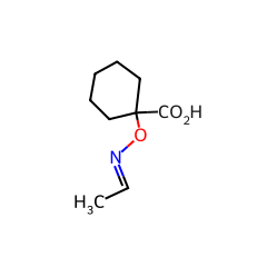 CC=NOC1(C(=O)O)CCCCC1